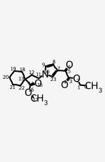 CCOC(=O)C(=O)c1ccn(CCC2(C(=O)OC)CCCCC2)c1